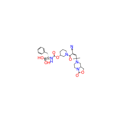 CC(C)(C=C(C#N)C(=O)N1CCCC(OC(=O)N[C@@H](Cc2ccccc2)B(O)O)C1)N1CCN2C(=O)OCC2C1